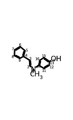 CN(C=Cc1ccccc1)c1ccc(O)cc1